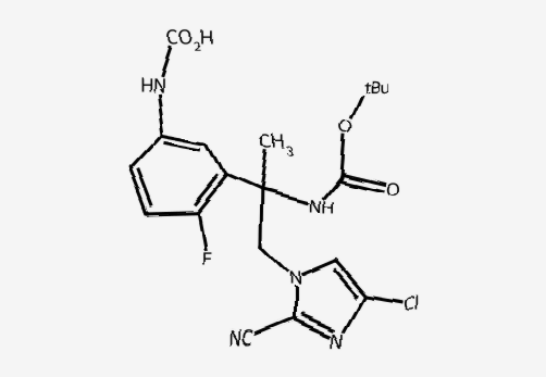 CC(C)(C)OC(=O)NC(C)(Cn1cc(Cl)nc1C#N)c1cc(NC(=O)O)ccc1F